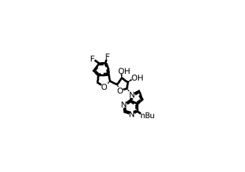 CCCCc1ncnc2c1ccn2[C@@H]1O[C@H]([C@@H]2OCc3cc(F)c(F)cc32)[C@@H](O)[C@H]1O